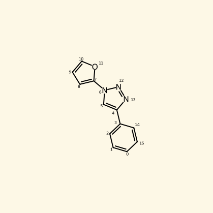 c1ccc(-c2cn(-c3ccco3)nn2)cc1